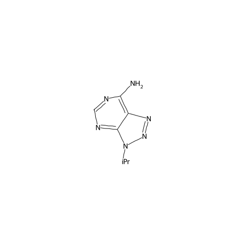 CC(C)n1nnc2c(N)ncnc21